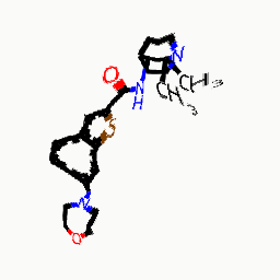 CC1(C)C(NC(=O)c2cc3ccc(N4CCOCC4)cc3s2)C2CCN1CC2